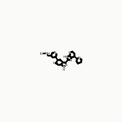 CCNCc1cncc(-c2cc3c(-c4nc5c(-c6ccccn6)ccnc5[nH]4)n[nH]c3cc2F)c1